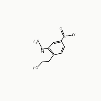 NNc1cc([N+](=O)[O-])ccc1CCO